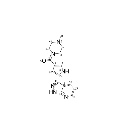 CN1CCN(C(=O)c2c[nH]c(-c3n[nH]c4ncccc34)c2)CC1